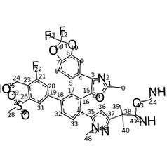 Cc1nc(-c2ccc3c(c2)OC(F)(F)O3)c(-c2cc(-c3cc(F)c(CO)c(S(C)(=O)=O)c3)ccc2-c2cc(C(C)(C)C(=N)OC=N)nn2C)o1